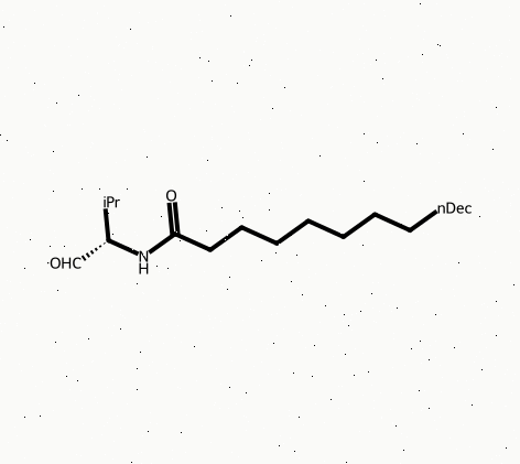 CCCCCCCCCCCCCCCCCC(=O)N[C@H]([C]=O)C(C)C